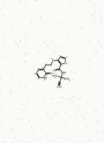 C#CC(C)(C)NC(=O)c1sccc1OCCc1ccc[nH]c1=O